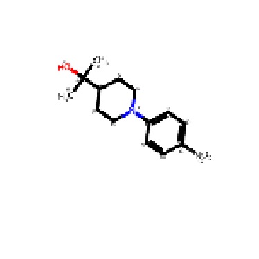 CC(C)(O)C1CCN(c2ccc([N+](=O)[O-])cc2)CC1